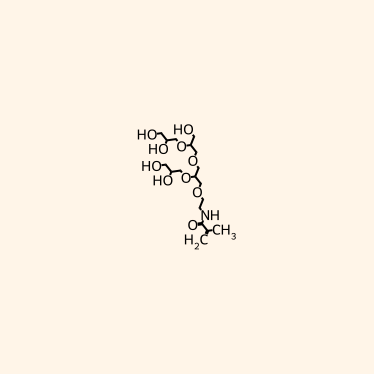 C=C(C)C(=O)NCCOCC(COCC(CO)OCC(O)CO)OCC(O)CO